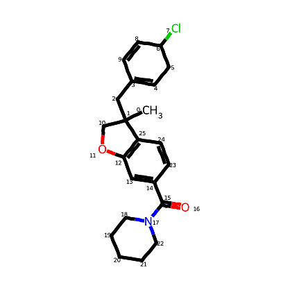 CC1(CC2=CCC(Cl)C=C2)COc2cc(C(=O)N3CCCCC3)ccc21